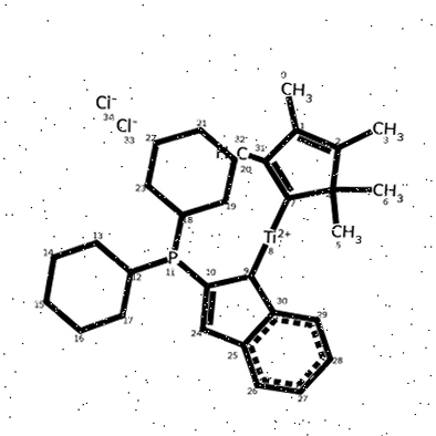 CC1=C(C)C(C)(C)[C]([Ti+2][CH]2C(P(C3CCCCC3)C3CCCCC3)=Cc3ccccc32)=C1C.[Cl-].[Cl-]